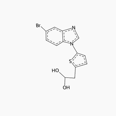 OC(O)Cc1ccc(-n2cnc3cc(Br)ccc32)s1